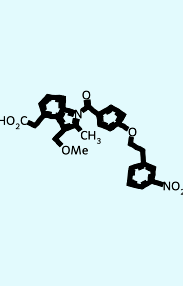 COCc1c(C)n(C(=O)c2ccc(OCCc3cccc([N+](=O)[O-])c3)cc2)c2cccc(CC(=O)O)c12